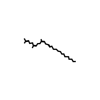 CCCCCCCCCCCCCC=C[CH]C=C(C)CCC=C(C)CCC=C(C)C